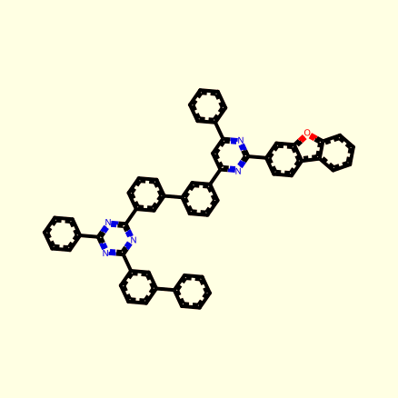 c1ccc(-c2cccc(-c3nc(-c4ccccc4)nc(-c4cccc(-c5cccc(-c6cc(-c7ccccc7)nc(-c7ccc8c(c7)oc7ccccc78)n6)c5)c4)n3)c2)cc1